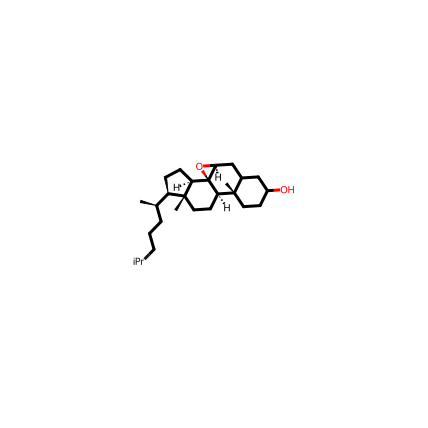 CC(C)CCC[C@@H](C)[C@H]1CC[C@@H]2[C@]1(C)CC[C@H]1[C@]23O[C@H]3CC2CC(O)CC[C@@]21C